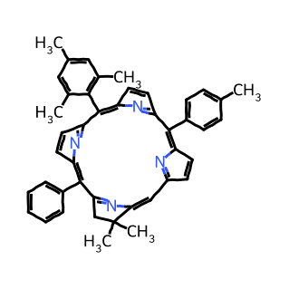 Cc1ccc(C2=C3C=CC(=N3)C=C3N=C(CC3(C)C)C(c3ccccc3)=C3C=CC(=N3)C(c3c(C)cc(C)cc3C)=C3C=CC2=N3)cc1